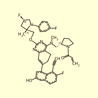 C#Cc1c(F)ccc2cc(O)cc(C3=Cc4nc(OC[C@]5(C)C[C@@H](F)CN5c5ccc(F)cc5)nc(N(C)C[C@@H]5CCCN5C(=O)C=C)c4CC3)c12